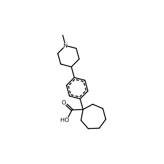 CN1CCC(c2ccc(C3(C(=O)O)CCCCCC3)cc2)CC1